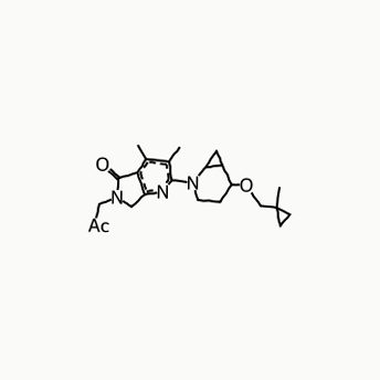 CC(=O)CN1Cc2nc(N3CCC(OCC4(C)CC4)C4CC43)c(C)c(C)c2C1=O